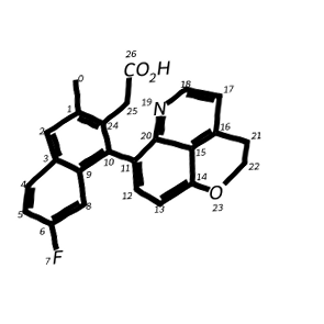 Cc1cc2ccc(F)cc2c(-c2ccc3c4c(ccnc24)CCO3)c1CC(=O)O